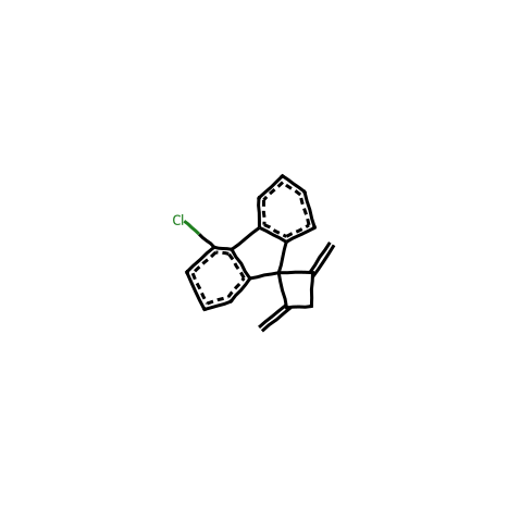 C=C1CC(=C)C12c1ccccc1-c1c(Cl)cccc12